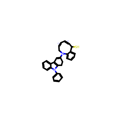 SC1/C=C\C=C/CN(C2=Cc3c(n(-c4ccccc4)c4ccccc34)CC2)c2ccccc21